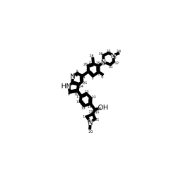 Cc1cc(-c2cnc3[nH]cc(-c4ccc(C(O)C5CN(C)C5)cc4)c3c2)cc(C)c1N1CCN(C)CC1